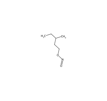 CCC(C)CCON=O